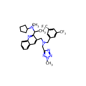 CC(c1nc2ccccc2cc1CN(Cc1cc(C(F)(F)F)cc(C(F)(F)F)c1)Cc1nnn(C)n1)N(C)C1CCCC1